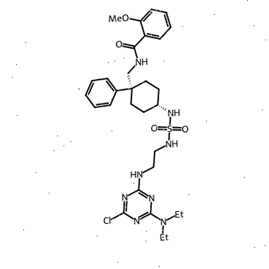 CCN(CC)c1nc(Cl)nc(NCCNS(=O)(=O)N[C@H]2CC[C@](CNC(=O)c3ccccc3OC)(c3ccccc3)CC2)n1